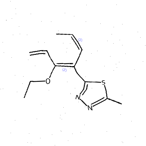 C=C/C(OCC)=C(\C=C/C)c1nnc(C)s1